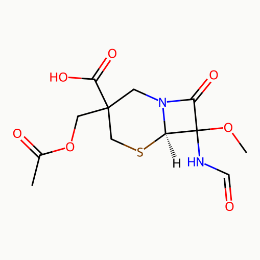 COC1(NC=O)C(=O)N2CC(COC(C)=O)(C(=O)O)CS[C@@H]21